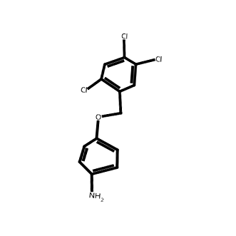 Nc1ccc(OCc2cc(Cl)c(Cl)cc2Cl)cc1